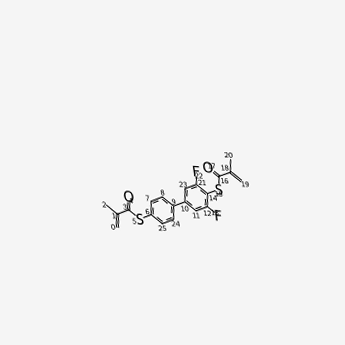 C=C(C)C(=O)Sc1ccc(-c2cc(F)c(SC(=O)C(=C)C)c(F)c2)cc1